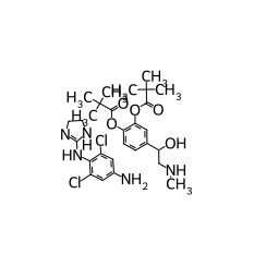 CNCC(O)c1ccc(OC(=O)C(C)(C)C)c(OC(=O)C(C)(C)C)c1.Nc1cc(Cl)c(NC2=NCCN2)c(Cl)c1